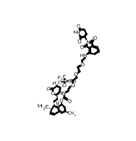 C[C@H]1C=C2C=C[C@H](C)[C@H](CC[C@@H]3C[C@@H](O[Si](C)(C)C(C)(C)C)CC(=O)O3)[C@H]2[C@@H](OC(=O)NCCOCCOCCOCCNc2cccc3c2C(=O)N(C2CCC(=O)NC2=O)C3=O)C1